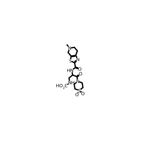 CN1CCc2nc(C(=O)NC(CNC(=O)O)C(=O)N3CCS(=O)(=O)CC3)sc2C1